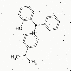 CC(C)c1cc[n+](B(c2ccccc2)c2ccccc2O)cc1